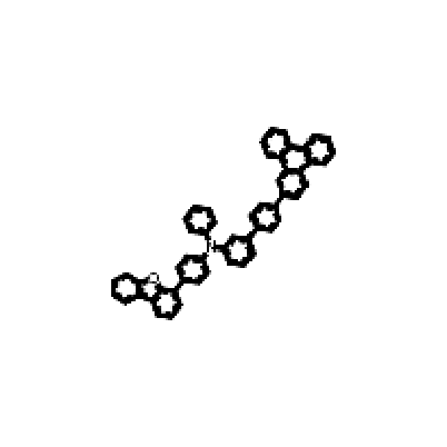 c1ccc(N(c2ccc(-c3cccc4c3oc3ccccc34)cc2)c2cccc(-c3ccc(-c4ccc5c6ccccc6c6ccccc6c5c4)cc3)c2)cc1